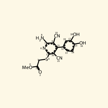 COC(=O)CSc1nc(N)c(C#N)c(-c2ccc(O)c(O)c2)c1C#N